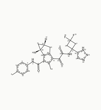 Cc1ccc(NC(=O)c2c(C)c(C(=O)C(=O)NC3(c4cnn[nH]4)CC(F)(F)C3)c3n2[C@@H]2C[C@@H]2C3)cc1